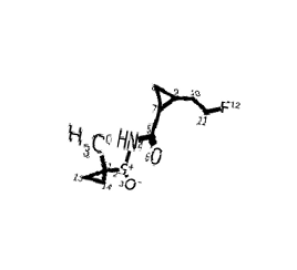 CC1([S+]([O-])NC(=O)C2CC2CCF)CC1